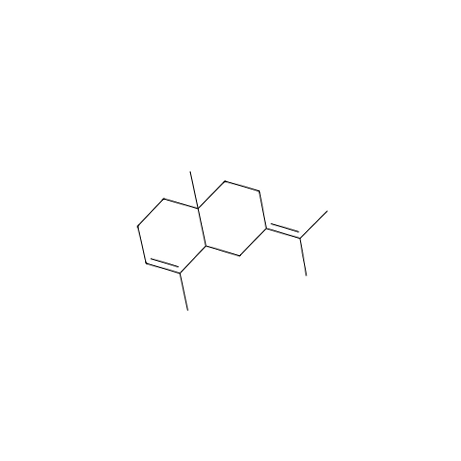 CC1=CCCC2(C)CCC(=C(C)C)CC12